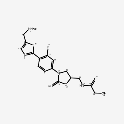 CC(=O)NCc1nnc(-c2ccc(N3CC(CNC(=O)CO)OC3=O)cc2F)s1